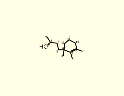 CC1=C(C)C(C)(CCC(C)O)CCC1